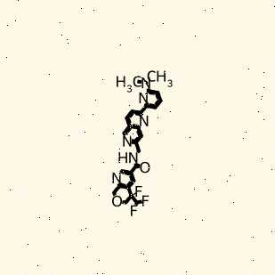 CN(C)c1cccc(-c2ccc3cnc(CNC(=O)c4cnc5c(c4)[C@@](F)(C(F)F)COC5)cc3n2)n1